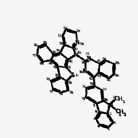 CC1(C)c2ccccc2-c2ccc(-c3nc(-n4c5ncccc5c5c6ccccc6c6c7ccccc7sc6c54)nc4ccccc34)cc21